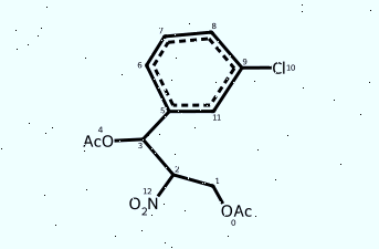 CC(=O)OCC(C(OC(C)=O)c1cccc(Cl)c1)[N+](=O)[O-]